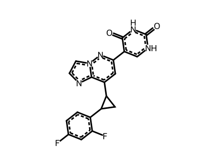 O=c1[nH]cc(-c2cc(C3CC3c3ccc(F)cc3F)c3nccn3n2)c(=O)[nH]1